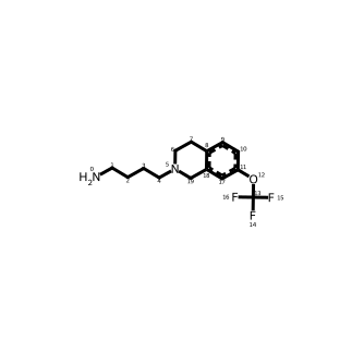 NCCCCN1CCc2ccc(OC(F)(F)F)cc2C1